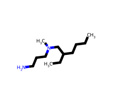 CCCCC(CC)CN(C)CCCN